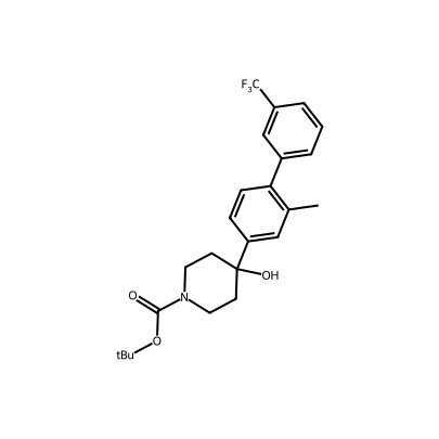 Cc1cc(C2(O)CCN(C(=O)OC(C)(C)C)CC2)ccc1-c1cccc(C(F)(F)F)c1